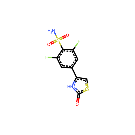 NS(=O)(=O)c1c(F)cc(-c2csc(=O)[nH]2)cc1F